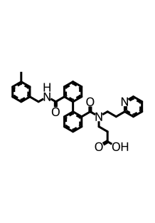 Cc1cccc(CNC(=O)c2ccccc2-c2ccccc2C(=O)N(CCC(=O)O)CCc2ccccn2)c1